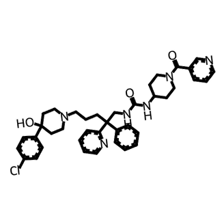 O=C(NCC(CCCN1CCC(O)(c2ccc(Cl)cc2)CC1)(c1ccccc1)c1ccccn1)NC1CCN(C(=O)c2cccnc2)CC1